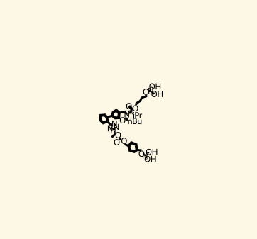 CCCCC(=O)N(Cc1ccc(-c2ccccc2-c2nnn(C(C)OC(=O)OCc3ccc(CON(O)O)cc3)n2)cc1)[C@H](C(=O)OCCCCON(O)O)C(C)C